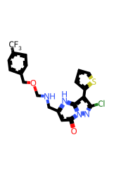 O=c1cc(CNCOCc2ccc(C(F)(F)F)cc2)[nH]c2c(-c3cccs3)c(Cl)nn12